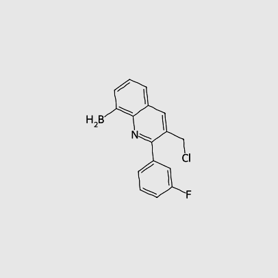 Bc1cccc2cc(CCl)c(-c3cccc(F)c3)nc12